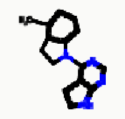 Cc1cccc2c1CCN2c1ncnc2[nH]ccc12